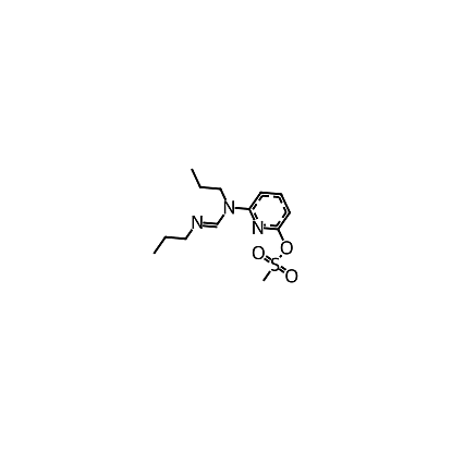 CCCN=CN(CCC)c1cccc(OS(C)(=O)=O)n1